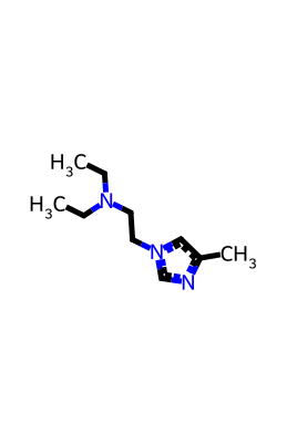 CCN(CC)CCn1cnc(C)c1